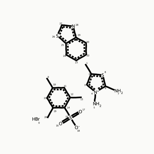 Br.Cc1c[n+](N)c(N)s1.Cc1cc(C)c(S(=O)(=O)[O-])c(C)c1.c1ccc2scnc2c1